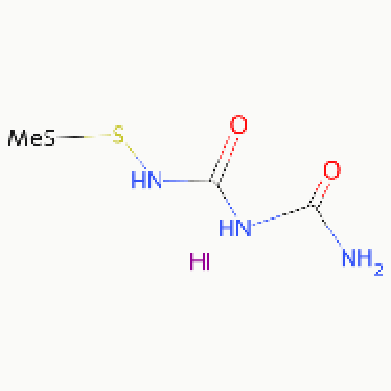 CSSNC(=O)NC(N)=O.I